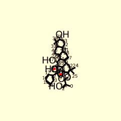 C/C(=C/O)C(=O)O[C@H]1[C@H](OC(=O)c2ccccc2)[C@@]2(CO)C(CC1(C)C)C1=CCC3[C@@]4(C)CC[C@H](O)C(C)(C)C4CC[C@@]3(C)[C@]1(C)[C@@H](O)[C@H]2O